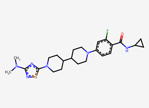 CN(C)c1nsc(N2CCC(C3CCN(c4ccc(C(=O)NC5CC5)c(F)c4)CC3)CC2)n1